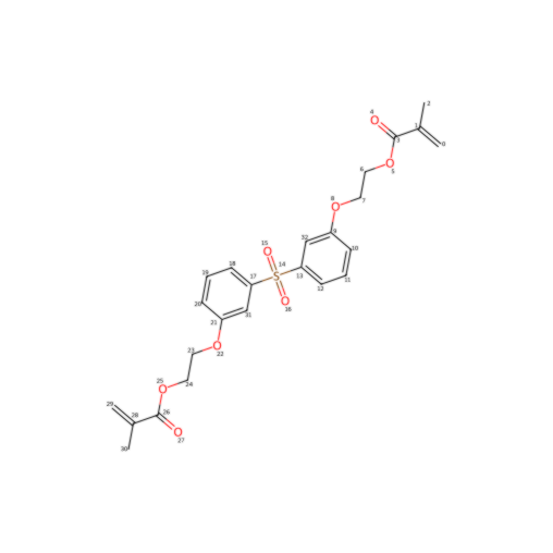 C=C(C)C(=O)OCCOc1cccc(S(=O)(=O)c2cccc(OCCOC(=O)C(=C)C)c2)c1